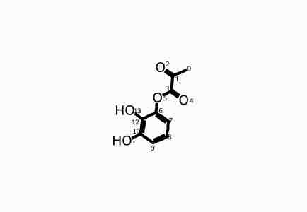 CC(=O)C(=O)Oc1cccc(O)c1O